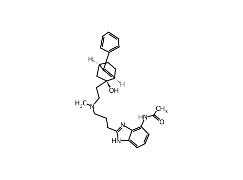 CC(=O)Nc1cccc2[nH]c(CCCN(C)CC[C@]3(O)C[C@H]4CC[C@@H]3C=C4c3ccccc3)nc12